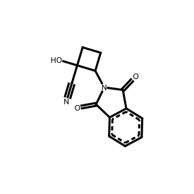 N#CC1(O)CCC1N1C(=O)c2ccccc2C1=O